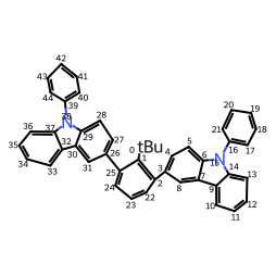 CC(C)(C)c1c(-c2ccc3c(c2)c2ccccc2n3-c2ccccc2)cccc1-c1ccc2c(c1)c1ccccc1n2-c1ccccc1